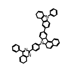 C1=Cc2c(nc(-c3ccc(N4C5CC=c6ccccc6=C5C5C=C(c6ccc7c(c6)c6c(n7-c7ccccc7)C=CCC6)C=CC54)cc3)nc2-c2ccccc2)CC1